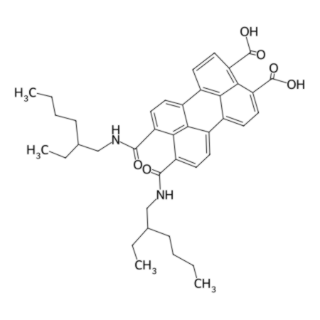 CCCCC(CC)CNC(=O)c1ccc2c3ccc(C(=O)O)c4c(C(=O)O)ccc(c5ccc(C(=O)NCC(CC)CCCC)c1c25)c43